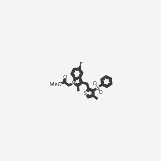 COC(=O)Cn1c(C)c(Cc2scc(C)c2S(=O)(=O)c2ccccc2)c2cc(F)ccc21